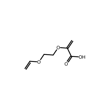 C=COCCOC(=C)C(=O)O